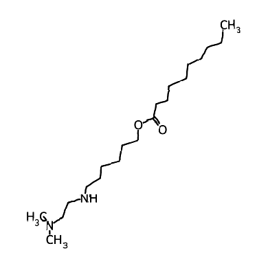 CCCCCCCCCC(=O)OCCCCCCNCCN(C)C